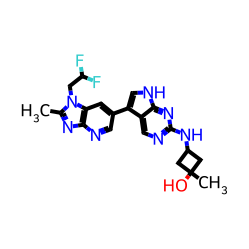 Cc1nc2ncc(-c3c[nH]c4nc(NC5CC(C)(O)C5)ncc34)cc2n1CC(F)F